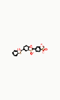 O=S1(=O)COc2cc(C3Oc4ccc(C5Oc6ccccc6S5)cc4[S+]3[O-])ccc21